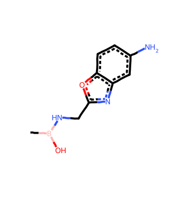 CB(O)NCc1nc2cc(N)ccc2o1